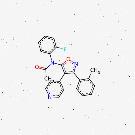 CC(=O)N(c1ccccc1F)c1onc(-c2ccccc2C)c1-c1ccncc1